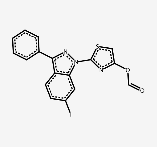 O=COc1csc(-n2nc(-c3ccccc3)c3ccc(I)cc32)n1